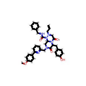 C=CCN1CC(=O)N2C(Cc3ccc(O)cc3)C(=O)N(Cc3cccc(-c4ccc(OC)cc4)n3)CC2N1C(=O)NCc1ccccc1